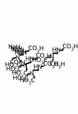 O=C(O)CNCCN(CC(=O)O)CC(=O)O.O=C(O)CNCCN(CC(=O)O)CC(=O)O.O=C(O)CNCCN(CC(=O)O)CC(=O)O.O=C(O)CNCCN(CC(=O)O)CC(=O)O.[NaH].[NaH].[NaH].[NaH]